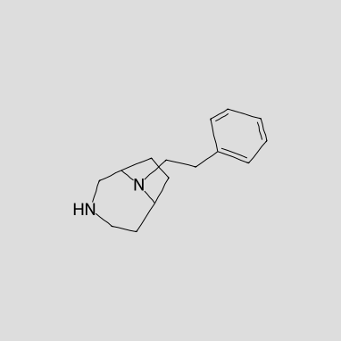 c1ccc(CCN2C3CCNCC2CC3)cc1